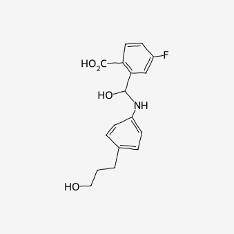 O=C(O)c1ccc(F)cc1C(O)Nc1ccc(CCCO)cc1